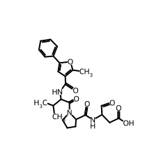 Cc1oc(-c2ccccc2)cc1C(=O)NC(C(=O)N1CCCC1C(=O)NC(C=O)CC(=O)O)C(C)C